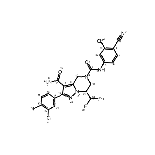 N#Cc1ccc(NC(=O)N2Cc3c(C(N)=O)c(-c4ccc(F)c(Cl)c4)nn3[C@H](C(F)F)C2)cc1Cl